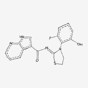 O=C(/N=C1\SCCN1c1c(O)cccc1F)c1c[nH]c2ncccc12